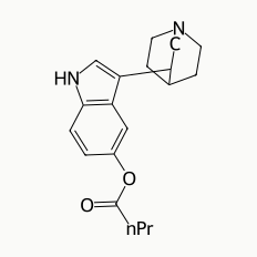 CCCC(=O)Oc1ccc2[nH]cc(C3CN4CCC3CC4)c2c1